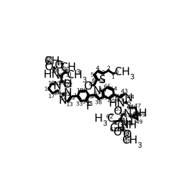 CCCc1ccc(C2Oc3cc(-c4cnc([C@@H]5CCCN5C(=O)[C@@H](NC(=O)OC)C(C)C)[nH]4)cc(F)c3-c3cc4cc(-c5cnc([C@@H]6C[C@H]7C[C@H]7N6C(=O)[C@@H](NC(=O)OC)C(C)C)[nH]5)ccc4n32)s1